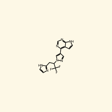 FC(F)(F)C(Cc1ncc[nH]1)n1cc(-c2ncnc3[nH]ccc23)cn1